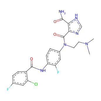 CN(C)CCN(C(=O)c1nc[nH]c1C(N)=O)c1ccc(NC(=O)c2ccc(F)cc2Cl)c(F)c1